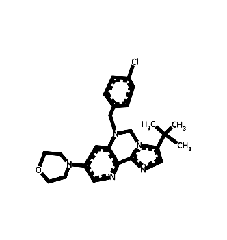 CC(C)(C)c1cnc2n1CN(Cc1ccc(Cl)cc1)c1cc(N3CCOCC3)cnc1-2